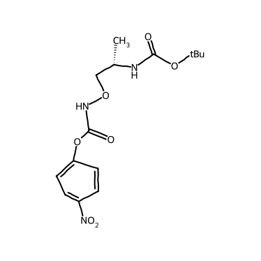 C[C@@H](CONC(=O)Oc1ccc([N+](=O)[O-])cc1)NC(=O)OC(C)(C)C